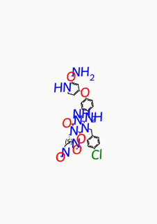 NOC1=CC(Oc2ccc(NC3N(N)C(=O)N(C[C@@H](CN=O)N=O)C(=O)N3Cc3ccc(Cl)cc3)cc2)=CCN1